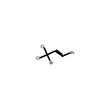 CC(C)C=CC(Cl)(Cl)Br